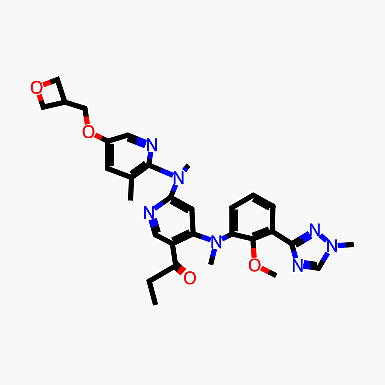 CCC(=O)c1cnc(N(C)c2ncc(OCC3COC3)cc2C)cc1N(C)c1cccc(-c2ncn(C)n2)c1OC